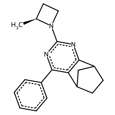 C[C@H]1CCN1c1nc(-c2ccccc2)c2c(n1)C1CCC2C1